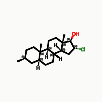 C[C@H]1CC[C@@]2(C)[C@@H](CC[C@@H]3[C@@H]2CC[C@]2(C)[C@@H](O)[C@H](Cl)C[C@@H]32)C1